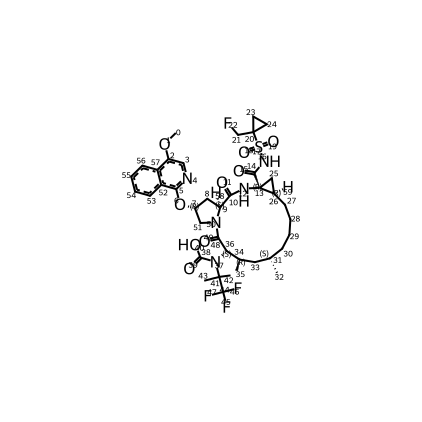 COc1cnc(O[C@@H]2C[C@H]3C(=O)N[C@]4(C(=O)NS(=O)(=O)C5(CF)CC5)C[C@H]4CCCC[C@H](C)C[C@@H](C)[C@H](N(C(=O)O)C(C)(C)C(F)(F)F)C(=O)N3C2)c2ccccc12